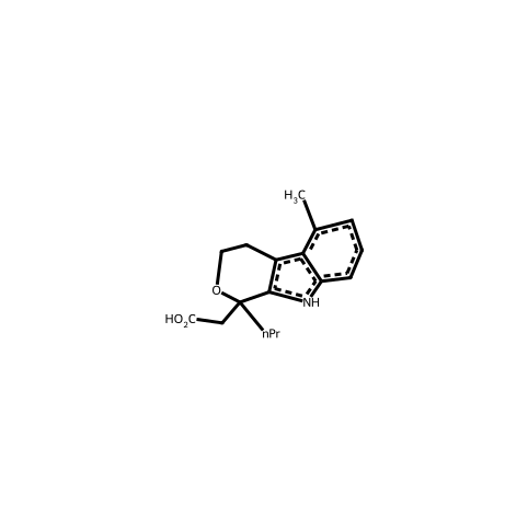 CCCC1(CC(=O)O)OCCc2c1[nH]c1cccc(C)c21